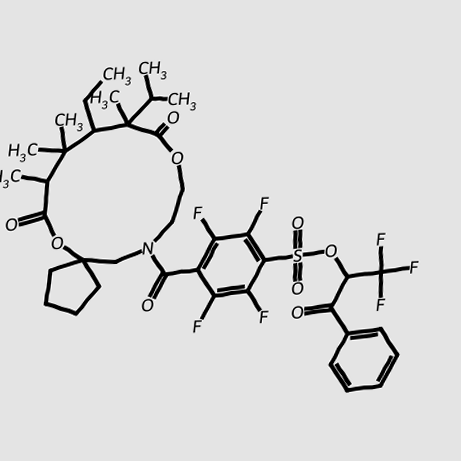 CCC1C(C)(C)C(C)C(=O)OC2(CCCC2)CN(C(=O)c2c(F)c(F)c(S(=O)(=O)OC(C(=O)c3ccccc3)C(F)(F)F)c(F)c2F)CCOC(=O)C1(C)C(C)C